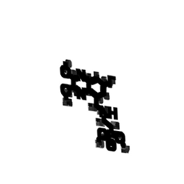 COc1nc2cc(F)cc(CNCCP(=O)(OC)OC)c2nc1OC